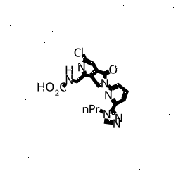 CCCn1cnnc1-c1cccc(N2Cc3c(cc(Cl)nc3CNC(=O)O)C2=O)n1